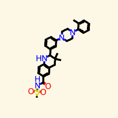 Cc1ccccc1N1CCN(c2cccc(C3Nc4ccc(C(=O)NS(C)(=O)=O)cc4CC3(C)C)c2)CC1